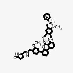 COc1cc(-c2cccc(-c3cccc(NCc4cc(OC)c(CN(C)C56CCC(CC5)CC6)cc4C#N)c3C=N)c2Cl)ccc1CNCC1CCC(=O)N1